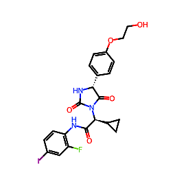 O=C(Nc1ccc(I)cc1F)[C@H](C1CC1)N1C(=O)N[C@H](c2ccc(OCCO)cc2)C1=O